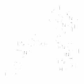 COc1ccc(C2=CN3C(=O)c4cc(OC)c(OCCCCCOc5cc6c(cc5OC)C(=O)N5CC7(CC7)C[C@@]5(C)[C@H](O)N6C(=O)OCc5ccc(NC(=O)[C@H](C)NC(=O)[C@@H](N)C(C)C)cc5)cc4NC[C@@H]3C2)cc1